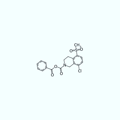 CS(=O)(=O)c1ccc(Cl)c2c1CCN(C(=O)OC(=O)c1ccccc1)C2